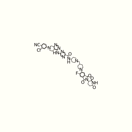 N#Cc1ccc(N2CCc3c(ncnc3Nc3cnc(C(=O)NC4CCN(CC5CCN(c6cc7c(cc6F)C(=O)N(C6CCC(=O)NC6=O)C7=O)CC5)CC4)cn3)C2)cc1Cl